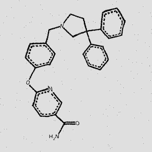 NC(=O)c1ccc(Oc2ccc(CN3CCC(c4ccccc4)(c4ccccc4)C3)cc2)nc1